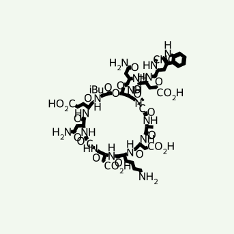 CCC(C)C1NC(=O)C(CCC(=O)O)NC(=O)C(CC(N)=O)NC(=O)CNC(=O)C(CC(=O)O)NC(=O)C(CCCCN)NC(=O)C(CC(=O)O)NC(=O)C(C)NC(=O)CN(C)C(=O)C(NC(=O)C(CC(N)=O)NC(=O)C(CCC(=O)O)NC(=O)C(Cc2c[nH]c3ccccc23)NC=O)C(C)OC1=O